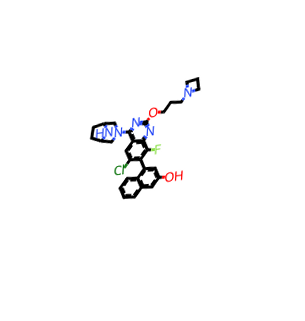 Oc1cc(-c2c(Cl)cc3c(N4CC5CCC(C4)N5)nc(OCCCN4CCC4)nc3c2F)c2ccccc2c1